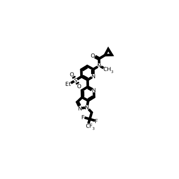 CCS(=O)(=O)c1ccc(N(C)C(=O)C2CC2)nc1-c1cc2cnn(CC(F)(F)C(F)(F)F)c2cn1